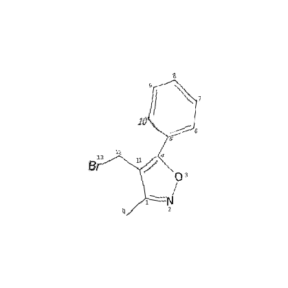 Cc1noc(-c2ccccc2)c1CBr